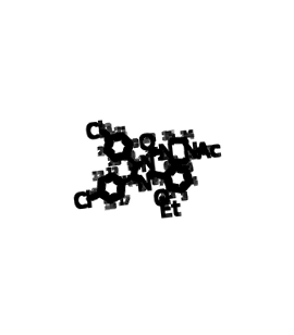 CCOc1ccccc1C1=N[C@@H](c2ccc(Cl)cc2)[C@@H](c2ccc(Cl)cc2)N1C(=O)N1CCN(C(C)=O)CC1